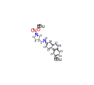 CN(CC1CCN(C(=O)OC(C)(C)C)C1)c1cccc(/C=C\c2ccc(C(C)(C)C)cc2)c1